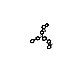 c1ccc(-c2ccc(N(c3ccc(-c4ccc5oc6ccccc6c5c4)cc3)c3ccc4c(c3)sc3c5ccccc5ccc43)cc2)cc1